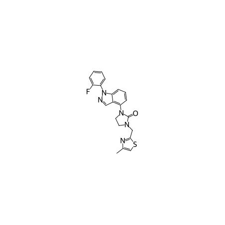 Cc1csc(CN2CCN(c3cccc4c3cnn4-c3ccccc3F)C2=O)n1